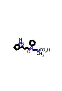 CN(CCN(C(=O)/C=C/c1n[nH]c2ccccc12)c1ccccc1)C(=O)O